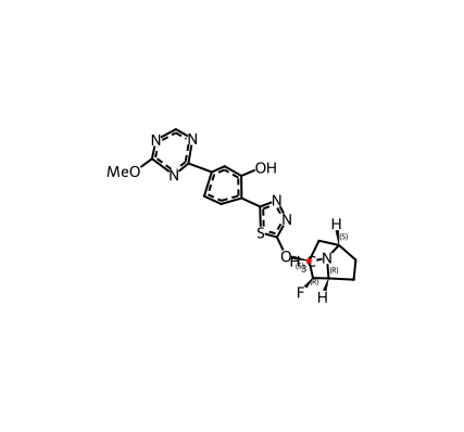 COc1ncnc(-c2ccc(-c3nnc(O[C@H]4C[C@@H]5CC[C@H]([C@H]4F)N5C)s3)c(O)c2)n1